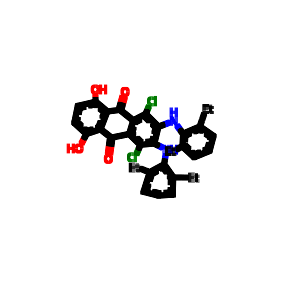 CCc1cccc(CC)c1Nc1c(Cl)c2c(c(Cl)c1Nc1c(CC)cccc1CC)C(=O)c1c(O)ccc(O)c1C2=O